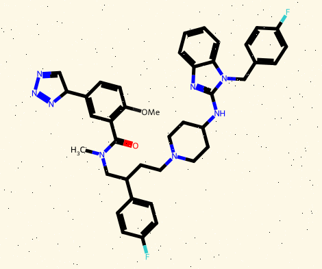 COc1ccc(C2C=NN=N2)cc1C(=O)N(C)CC(CCN1CCC(Nc2nc3ccccc3n2Cc2ccc(F)cc2)CC1)c1ccc(F)cc1